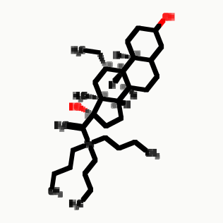 C=[C]([C@]1(O)CC[C@H]2[C@@H]3CCC4CC(O)CC[C@@H]4[C@H]3[C@@H](CC)C[C@@]21C)[Sn]([CH2]CCC)([CH2]CCC)[CH2]CCC